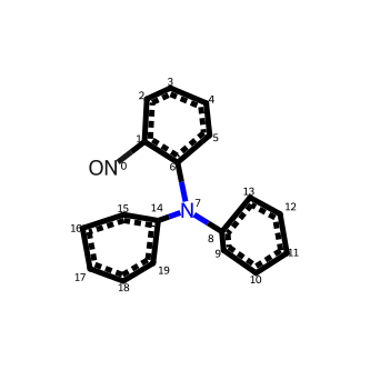 O=Nc1ccccc1N(c1ccccc1)c1ccccc1